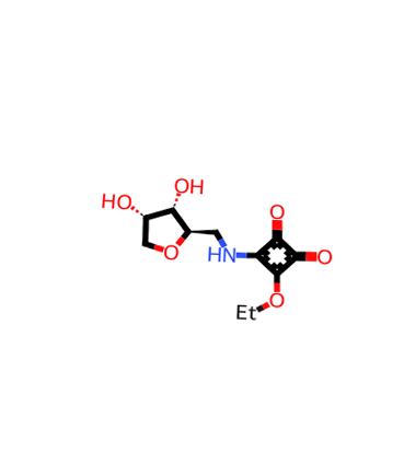 CCOc1c(NC[C@H]2OC[C@H](O)[C@@H]2O)c(=O)c1=O